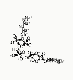 O=P([O-])([O-])O.O=P([O-])([O-])OP(=O)([O-])[O-].O=P([O-])([O-])OP(=O)([O-])[O-].[Na+].[Na+].[Na+].[Na+].[Na+].[Na+].[Na+].[Na+].[Na+].[Na+]